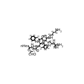 CCCCCCC(=O)N[C@@H](CCC=O)C(=O)N[C@@H](Cc1c[nH]cn1)C(=O)N[C@H](Cc1ccccc1)C(=O)N[C@@H](CCCNC(=N)N)C(=O)NCCCCN